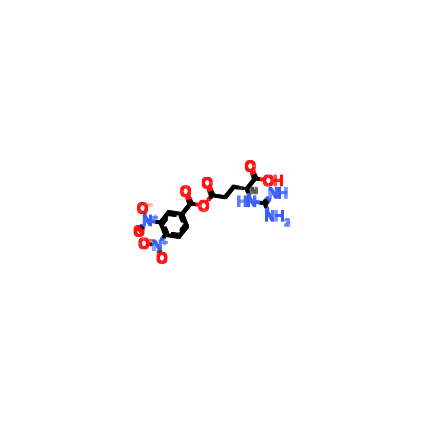 N=C(N)N[C@@H](CCC(=O)OC(=O)c1ccc([N+](=O)[O-])c([N+](=O)[O-])c1)C(=O)O